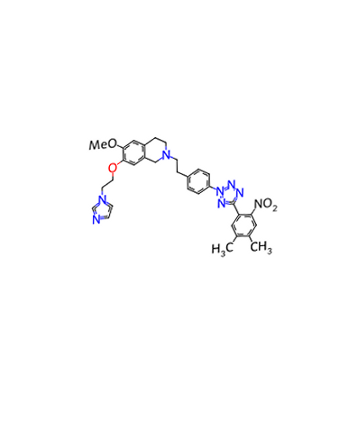 COc1cc2c(cc1OCCn1ccnc1)CN(CCc1ccc(-n3nnc(-c4cc(C)c(C)cc4[N+](=O)[O-])n3)cc1)CC2